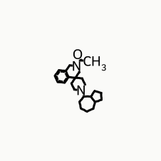 CC(=O)N1Cc2ccccc2C2(CCN(C3CCCCC4CCCC43)CC2)C1